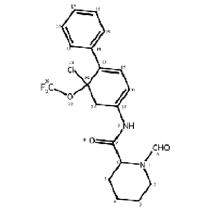 O=CN1CCCCC1C(=O)NC1=CC=C(c2ccccc2)C(Cl)(OC(F)(F)F)C1